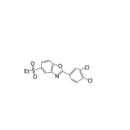 CCS(=O)(=O)c1ccc2oc(-c3ccc(Cl)c(Cl)c3)nc2c1